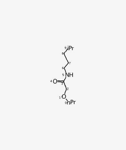 CCCOCC(=O)NCCCC(C)C